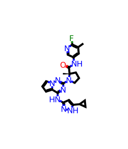 Cc1cc(NC(=O)[C@]2(C)CCCN2c2nc(Nc3cc(C4CC4)[nH]n3)c3cccn3n2)cnc1F